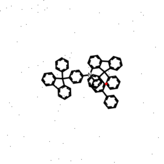 c1ccc(-c2ccc(N(c3ccc(C4(c5ccccc5)c5ccccc5-c5ccccc54)cc3)c3cccc4c3C(c3ccccc3)(c3ccccc3)c3ccccc3-4)cc2)cc1